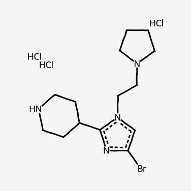 Brc1cn(CCN2CCCC2)c(C2CCNCC2)n1.Cl.Cl.Cl